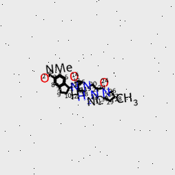 CNC(=O)c1ccc2c(c1)CCC2N1C(=O)C2C[C@H]1CN2CC(N)C(=O)N1CC(C)CC1C#N